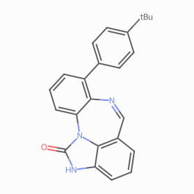 CC(C)(C)c1ccc(-c2cccc3c2N=Cc2cccc4[nH]c(=O)n-3c24)cc1